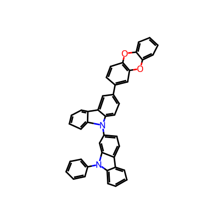 c1ccc(-n2c3ccccc3c3ccc(-n4c5ccccc5c5cc(-c6ccc7c(c6)Oc6ccccc6O7)ccc54)cc32)cc1